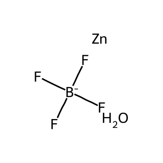 F[B-](F)(F)F.O.[Zn]